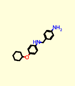 Nc1ccc(CNc2ccc(OC3CCCCC3)cc2)cc1